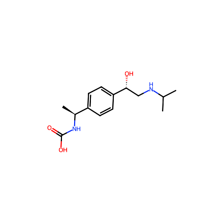 CC(C)NC[C@@H](O)c1ccc([C@H](C)NC(=O)O)cc1